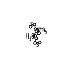 C[Si]1(C)c2cc(-c3cccc4sc5ccccc5c34)ccc2-c2c1cc1c3c(cccc23)[Si](C)(C)c2cc(-c3cccc4sc5ccccc5c34)ccc2-1